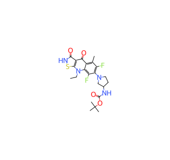 CCn1c2s[nH]c(=O)c2c(=O)c2c(C)c(F)c(N3CCC(NC(=O)OC(C)(C)C)C3)c(F)c21